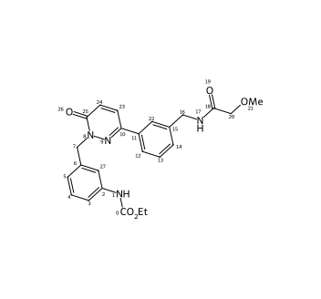 CCOC(=O)Nc1cccc(Cn2nc(-c3cccc(CNC(=O)COC)c3)ccc2=O)c1